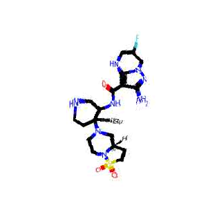 CCC(C)C1(N2CCN3[C@@H](CCS3(=O)=O)C2)CCNCC1NC(=O)c1c(N)nn2c1NCC(F)C2